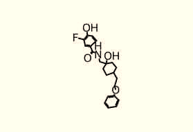 O=C(NCC1(O)CCC(CCOc2ccccc2)CC1)c1ccc(O)c(F)c1